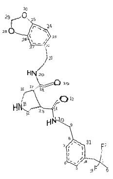 CC(F)(F)c1cccc(CNC(=O)C2CNC[C@@H]2C(=O)NCc2ccc3c(c2)OCO3)c1